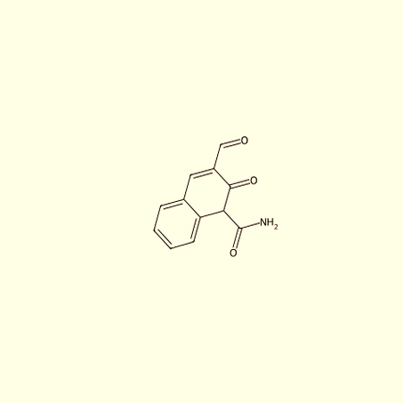 NC(=O)C1C(=O)C(C=O)=Cc2ccccc21